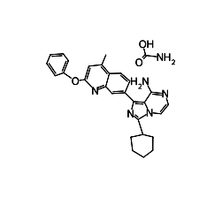 Cc1cc(Oc2ccccc2)nc2cc(-c3nc(C4CCCCC4)n4ccnc(N)c34)ccc12.NC(=O)O